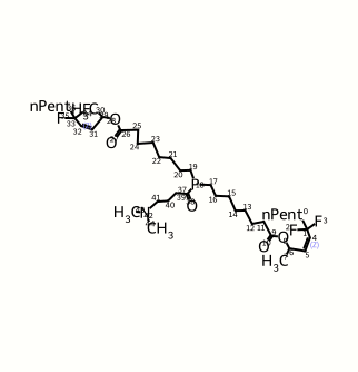 CCCCCC(F)(F)/C=C\C(C)OC(=O)CCCCCCCP(CCCCCCCC(=O)OC(C)/C=C\C(F)(F)CCCCC)C(=O)CCCN(C)C